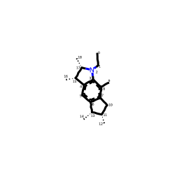 CCN1c2c(cc3c(c2C)C[C@H](C)[C@@H]3C)[C@H](C)[C@@H]1C